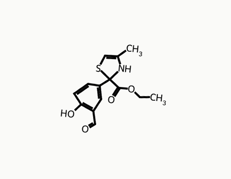 CCOC(=O)C1(c2ccc(O)c(C=O)c2)NC(C)=CS1